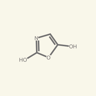 Oc1cnc(O)o1